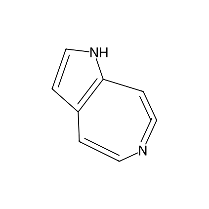 C1=Cc2[nH]ccc2C=CN=1